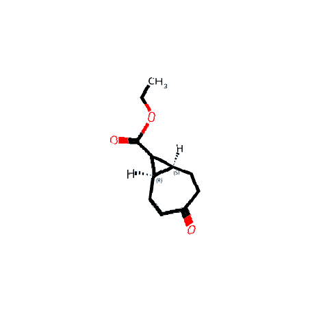 CCOC(=O)C1[C@H]2CCC(=O)CC[C@@H]12